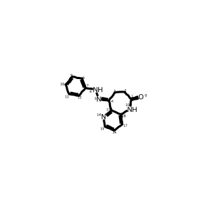 O=C1CCC(=NNc2ccccc2)c2ncccc2N1